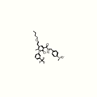 CCCCOC=Cc1cc(C(=O)NCc2ccc([S+](C)[O-])cc2)c(=O)n(-c2cccc(C(F)(F)F)c2)c1C